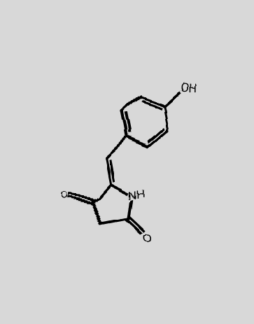 O=C1CC(=O)/C(=C/c2ccc(O)cc2)N1